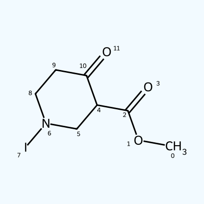 COC(=O)C1CN(I)CCC1=O